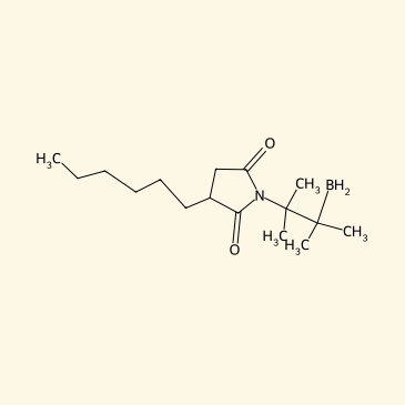 BC(C)(C)C(C)(C)N1C(=O)CC(CCCCCC)C1=O